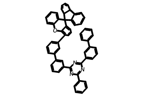 C1=CC2c3ccccc3C3(c4ccccc4Oc4c(-c5cccc(-c6cccc(-c7nc(-c8ccccc8)nc(-c8cccc(-c9ccccc9)c8)n7)c6)c5)cccc43)C2C=C1